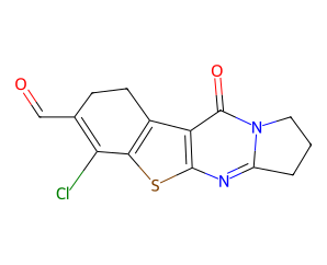 O=CC1=C(Cl)c2sc3nc4n(c(=O)c3c2CC1)CCC4